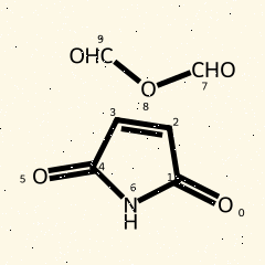 O=C1C=CC(=O)N1.O=COC=O